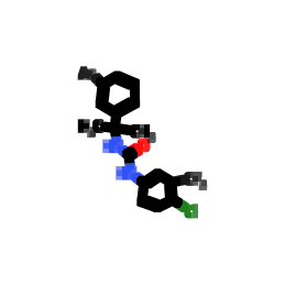 CC(=O)c1cccc(C(C)(C)NC(=O)Nc2ccc(Cl)c(C(F)(F)F)c2)c1